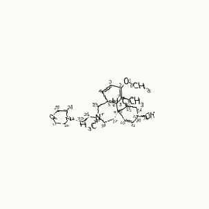 COc1ccc2c(c1C)[C@@]1(C=C[C@H](O)C[C@@H]1C)CC[N+](C)(CCN1CCOCC1)C2